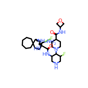 NC1NC2CCC(F)CNC(CC23CCCCCC3)C1C(=O)NC1CNCC(F)C1N1CCC(C(=O)NC2COC2)CC1